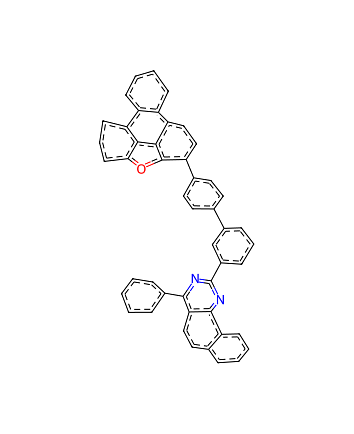 c1ccc(-c2nc(-c3cccc(-c4ccc(-c5ccc6c7ccccc7c7cccc8oc5c6c87)cc4)c3)nc3c2ccc2ccccc23)cc1